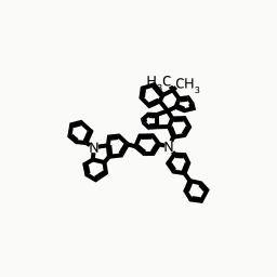 CC1(C)c2ccccc2C2(c3ccccc3-c3c(N(c4ccc(-c5ccccc5)cc4)c4ccc(-c5ccc6c(c5)C5C=CC=CC5N6c5ccccc5)cc4)cccc32)c2ccccc21